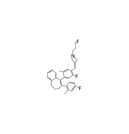 Cc1cc(F)ccc1C1=C(c2cc(F)c(C=C3CN(CCCF)C3)cc2C)c2ccccc2CCC1